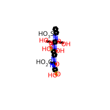 O=C(O)C1=NN(c2ccc(S(=O)O)cc2)C(=O)C1/N=N/c1ccc2c(O)c(/N=N/c3cc(OCCO)c(/N=N/c4ccc5ccccc5c4S(=O)(=O)O)cc3OCCO)c(S(=O)O)cc2c1